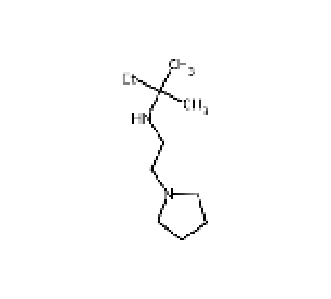 CCC(C)(C)NCCN1CCCC1